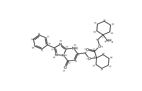 NC1(COC(=O)C2(OCc3cc(=O)n4nc(-c5ccccc5)nc4[nH]3)CCCCC2)CCCCC1